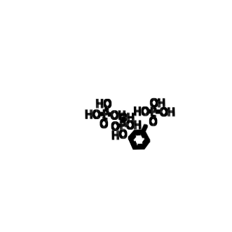 Cc1ccccc1.O=P(O)(O)O.O=P(O)(O)O.O=P(O)(O)O